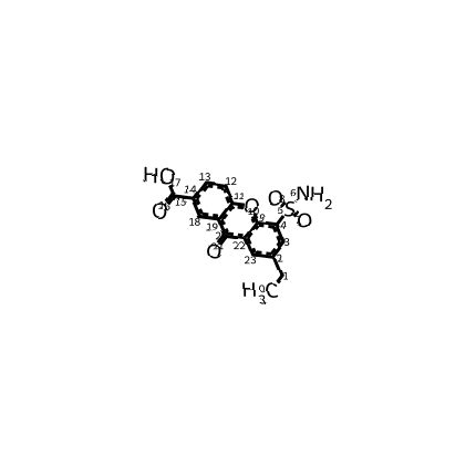 CCc1cc(S(N)(=O)=O)c2oc3ccc(C(=O)O)cc3c(=O)c2c1